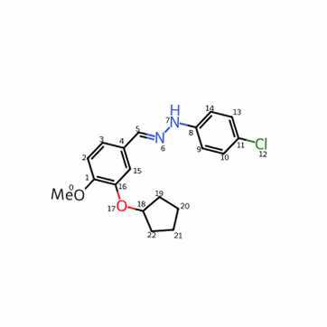 COc1ccc(C=NNc2ccc(Cl)cc2)cc1OC1CCCC1